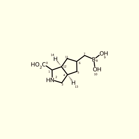 O=C(O)C1NC[C@@H]2CC(CB(O)O)C[C@H]12